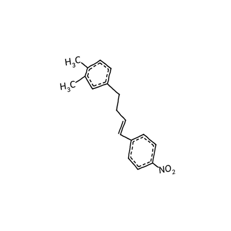 Cc1ccc(CCC=Cc2ccc([N+](=O)[O-])cc2)cc1C